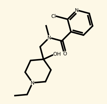 CCN1CCC(O)(CN(C)C(=O)c2cccnc2Cl)CC1